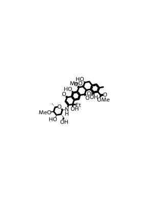 CCC1(O)C(N[C@H]2O[C@@H](C)[C@H](OC)[C@@H](O)[C@H]2CO)=CC(=O)c2c1cc1c(c2O)C(=O)[C@]2(OC)[C@H](O)Cc3cc(C)c(C(=O)OC)c(O)c3[C@]2(O)C1=O